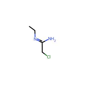 CCN=C(N)CCl